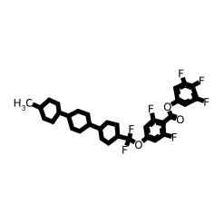 CC1CCC(C2CCC(C3CCC(C(F)(F)Oc4cc(F)c(C(=O)Oc5cc(F)c(F)c(F)c5)c(F)c4)CC3)CC2)CC1